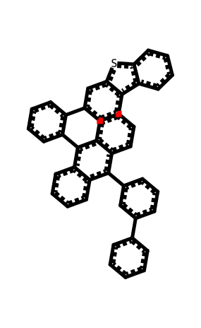 c1ccc(-c2cccc(-c3c4ccccc4c(-c4ccccc4-c4ccc5c(c4)sc4ccccc45)c4ccccc34)c2)cc1